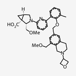 COCc1cc(COc2c(C)cccc2-c2cccc(N3C[C@@H]4C[C@]4(C(=O)O)[C@H]3COC)n2)cc2c1CN(C1COC1)CC2